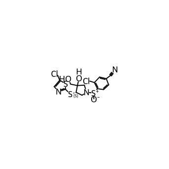 N#Cc1ccc([S+]([O-])N2C[C@H](Sc3ncc(Cl)s3)C(O)(CO)C2)c(Cl)c1